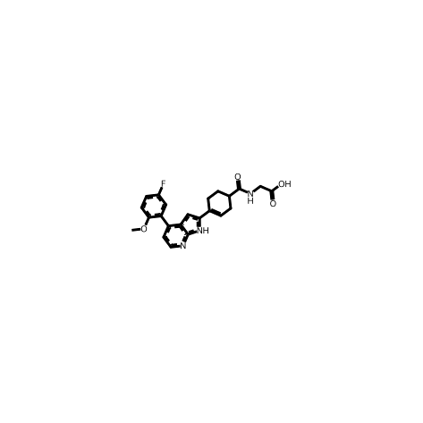 COc1ccc(F)cc1-c1ccnc2[nH]c(C3=CCC(C(=O)NCC(=O)O)CC3)cc12